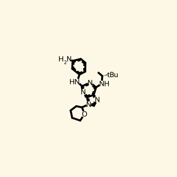 C[C@@H](Nc1nc(Nc2cccc(N)c2)nc2c1ncn2C1CCCCO1)C(C)(C)C